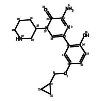 Nc1nc(-c2cc(OCC3CC3)ccc2O)cn(C2CCCNC2)c1=O